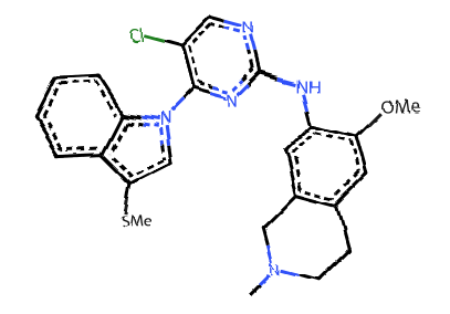 COc1cc2c(cc1Nc1ncc(Cl)c(-n3cc(SC)c4ccccc43)n1)CN(C)CC2